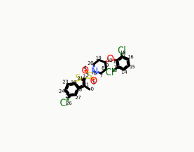 Cc1c(S(=O)(=O)N2CCC(Oc3c(Cl)cccc3Cl)CC2)sc2ccc(Cl)cc12